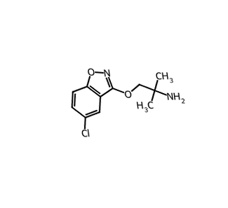 CC(C)(N)COc1noc2ccc(Cl)cc12